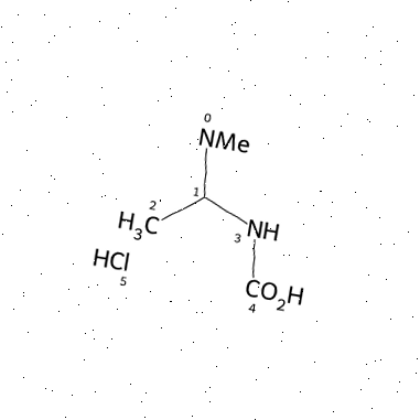 CNC(C)NC(=O)O.Cl